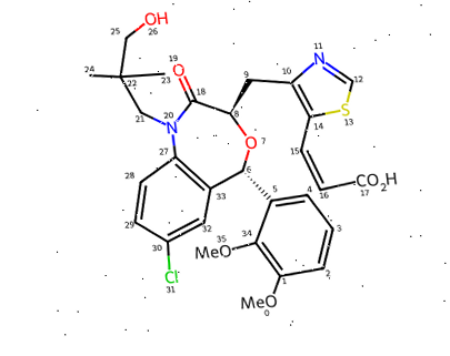 COc1cccc([C@H]2O[C@H](Cc3ncsc3C=CC(=O)O)C(=O)N(CC(C)(C)CO)c3ccc(Cl)cc32)c1OC